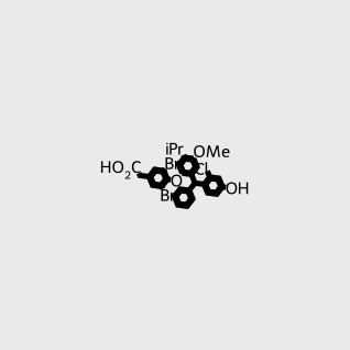 COc1cc(C(c2ccccc2)c2ccc(O)cc2Cl)c(Oc2c(Br)cc(CC(=O)O)cc2Br)cc1C(C)C